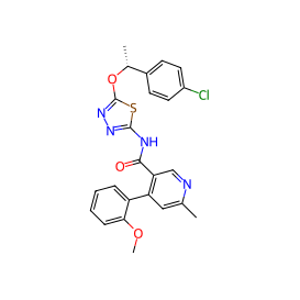 COc1ccccc1-c1cc(C)ncc1C(=O)Nc1nnc(O[C@H](C)c2ccc(Cl)cc2)s1